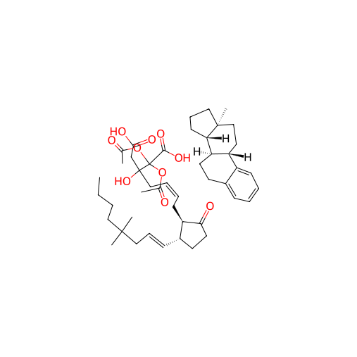 CCCCC(C)(C)C/C=C/[C@H]1CCC(=O)[C@@H]1C/C=C\CC(O)(CC(=O)O)C(OC(C)=O)(OC(C)=O)C(=O)O.C[C@@]12CCC[C@H]1[C@@H]1CCc3ccccc3[C@H]1CC2